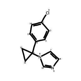 Clc1ccc(C2(n3ccnc3)CC2)cc1